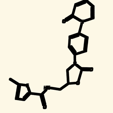 Cc1ccc(C(=O)NCC2CN(c3ccc(-n4ccccc4=O)cc3)C(=O)O2)s1